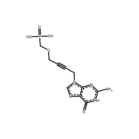 Nc1nc2c(ncn2CC#CCOCP(=O)(O)O)c(=O)[nH]1